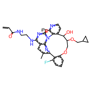 C=CC(=O)NCCNc1nc(=O)n2c3nc(c(C)cc13)-c1c(F)cccc1OCC(OCC1CC1)C(O)c1ccnc(C(C)C)c1-2